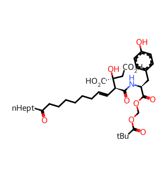 CCCCCCCC(=O)CCCCCC/C=C/[C@H](C(=O)N[C@@H](Cc1ccc(O)cc1)C(=O)OCOC(=O)C(C)(C)C)[C@@](O)(CC(=O)O)C(=O)O